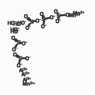 O=[Si]([O-])[O-].O=[Si]([O-])[O-].O=[Si]([O-])[O-].O=[Si]([O-])[O-].O=[Si]([O-])[O-].[Al+3].[Al+3].[Al+3].[Mn+2].[Mn+2].[Mn+2].[OH-].[OH-].[OH-].[OH-].[OH-]